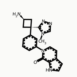 Cn1cnnc1[C@]1(c2cccc(-n3ccc4cc[nH]c4c3=O)c2)C[C@@H](N)C1